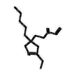 C=CNCCC1(CCCCC)CN=C(CC)C1